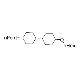 CCCCCCO[C@H]1CC[C@H](C2CCC(CCCCC)CC2)CC1